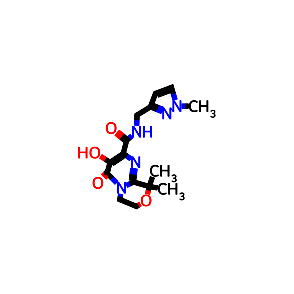 Cn1ccc(CNC(=O)c2nc3n(c(=O)c2O)CCOC3(C)C)n1